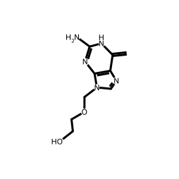 C=C1NC(N)=Nc2c1ncn2COCCO